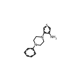 Nc1cscc1N1CCN(c2ccccc2)CC1